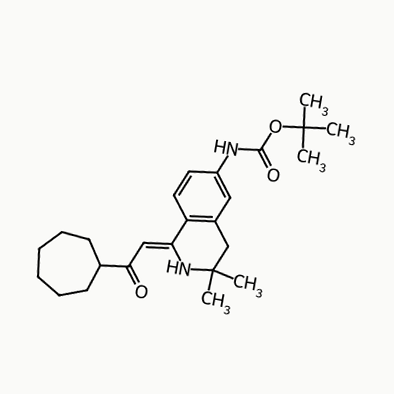 CC1(C)Cc2cc(NC(=O)OC(C)(C)C)ccc2C(=CC(=O)C2CCCCCC2)N1